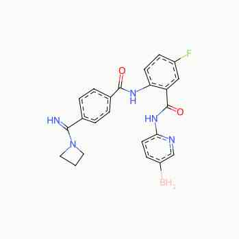 Bc1ccc(NC(=O)c2cc(F)ccc2NC(=O)c2ccc(C(=N)N3CCC3)cc2)nc1